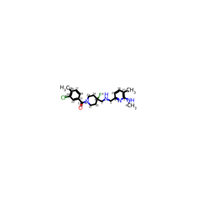 CNc1nc(CNCC2(F)CCN(C(=O)c3ccc(C)c(Cl)c3)CC2)ccc1C